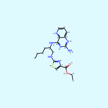 CCCCC(CNc1nc(C(=O)OCC)cs1)Nc1nc(N)nc2cccnc12